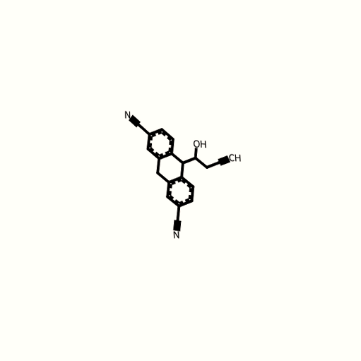 C#CCC(O)C1c2ccc(C#N)cc2Cc2cc(C#N)ccc21